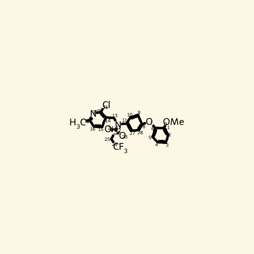 COc1ccccc1Oc1ccc(N(Cc2ccc(C)nc2Cl)S(=O)(=O)CC(F)(F)F)cc1